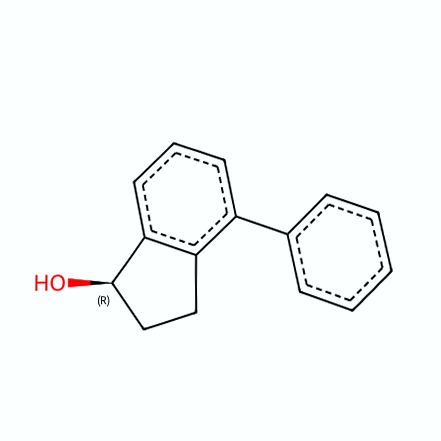 O[C@@H]1CCc2c(-c3ccccc3)cccc21